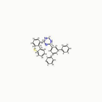 c1ccc(-c2cc(-c3ccccc3)cc(-c3ncnc(-c4cccc5sc6ccccc6c45)n3)c2)cc1